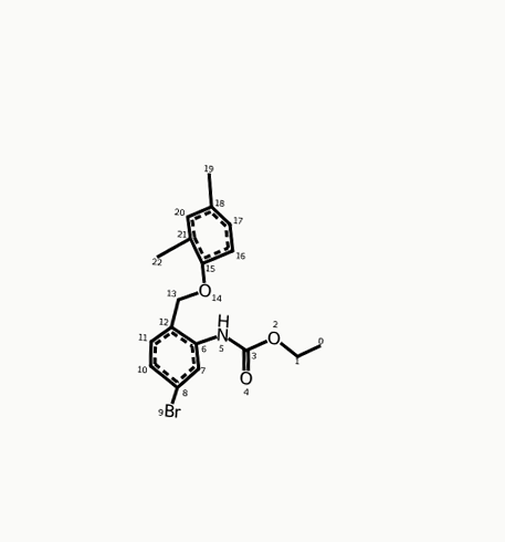 CCOC(=O)Nc1cc(Br)ccc1COc1ccc(C)cc1C